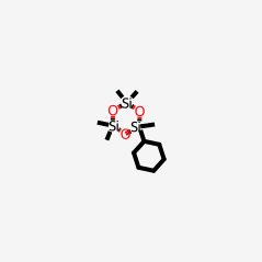 C[Si]1(C)O[Si](C)(C)O[Si](C)(C2CCCCC2)O1